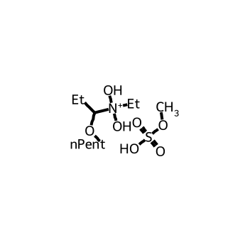 CCCCCOC(CC)[N+](O)(O)CC.COS(=O)(=O)O